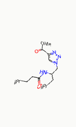 COC(=O)c1cn(CC(CC(C)C)NC(=O)CCC(C)C)nn1